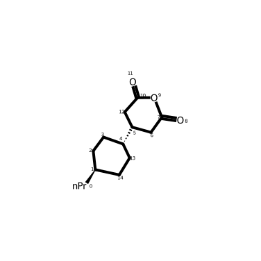 CCC[C@H]1CC[C@H](C2CC(=O)OC(=O)C2)CC1